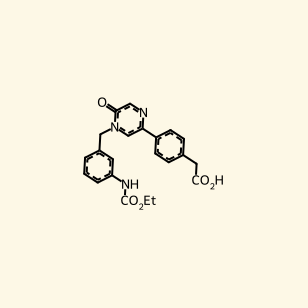 CCOC(=O)Nc1cccc(Cn2cc(-c3ccc(CC(=O)O)cc3)ncc2=O)c1